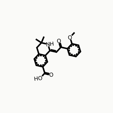 COc1ccccc1C(=O)/C=C1\NC(C)(C)Cc2ccc(C(=O)O)cc21